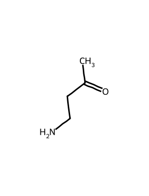 CC(=O)CCN